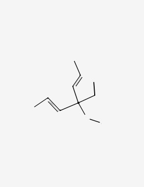 CC=CC(C=CC)(CC)SO